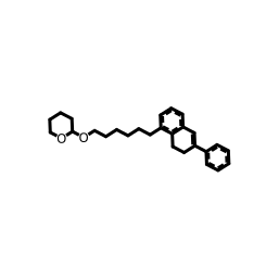 C1=C(c2ccccc2)CCc2c1cccc2CCCCCCOC1CCCCO1